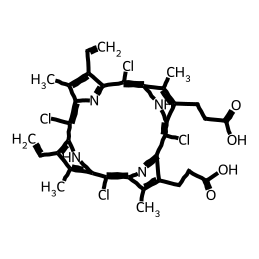 C=CC1=C(C)c2nc1c(Cl)c1[nH]c(c(Cl)c3nc(c(Cl)c4[nH]c(c2Cl)c(C=C)c4C)C(C)=C3CCC(=O)O)c(CCC(=O)O)c1C